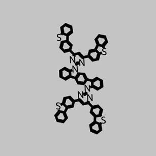 c1ccc2c(c1)sc1ccc(-c3cc(-c4ccc5sc6ccccc6c5c4)nc(-n4c5ccccc5c5cc6c(cc54)c4ccccc4n6-c4nc(-c5ccc6sc7ccccc7c6c5)cc(-c5ccc6sc7ccccc7c6c5)n4)n3)cc12